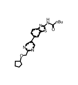 CCCCC(=O)Nc1nc2ccc(-c3cnc(COC4CCCC4)nc3)cc2s1